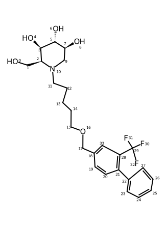 OC[C@H]1[C@@H](O)[C@H](O)[C@@H](O)CN1CCCCCOCc1ccc(-c2ccccc2)c(C(F)(F)F)c1